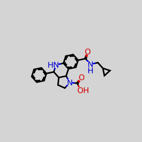 O=C(NCC1CC1)c1ccc2c(c1)C1C(CCN1C(=O)O)C(c1ccccc1)N2